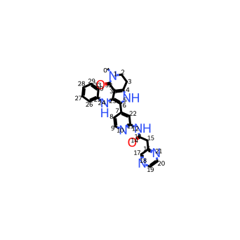 CN1CCc2[nH]c(-c3ccnc(NC(=O)Cc4cnccn4)c3)c(Nc3ccccc3)c2C1=O